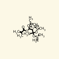 C=C(C)C(=O)OC(CC([SiH3])(O[SiH](C)C)O[SiH](C)C)O[SiH](C)C